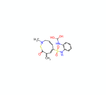 C=C1/C=C(S(=O)(=O)Nc2ccccc2NC(O)O)\C=C/CN(C)SC1=O